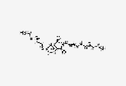 O=C1C2C3CC(SCCSCCS)C(C3)C2C(=O)N1CCCSCCSCCS